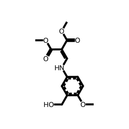 COC(=O)C(=CNc1ccc(OC)c(CO)c1)C(=O)OC